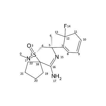 CN=[S@]1(=O)C[C@@](C)(C2=CC=CCC2(C)F)N=C(N)C12CCCC2